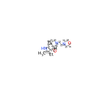 CCc1c(C)[nH]c2c1C(=O)[C@@H]1CN(CCN3CCOCC3)CC[C@H]1C2